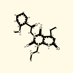 CCc1cc(=O)oc2c1c(=O)n(CC(=O)c1ccccc1OC)c(=O)n2COC